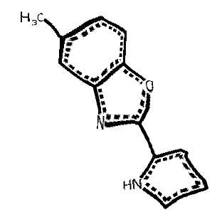 Cc1ccc2oc(-c3ccc[nH]3)nc2c1